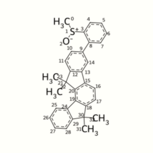 C[S+]([O-])c1ccccc1-c1ccc2c(c1)-c1ccc3c(c1C2(C)C)-c1ccccc1C3(C)C